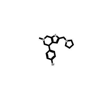 CN1Cc2sc(CN3CCCC3)cc2C(c2ccc(Br)cc2)C1